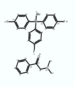 CCC(C)[B-](c1ccc(F)cc1)(c1ccc(F)cc1)c1ccc(F)cc1.C[S+](C)CC(=O)c1ccccc1